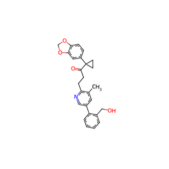 Cc1cc(-c2ccccc2CO)cnc1CCC(=O)C1(c2ccc3c(c2)OCO3)CC1